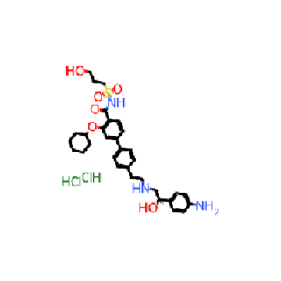 Cl.Cl.Nc1ccc([C@@H](O)CNCCc2ccc(-c3ccc(C(=O)NS(=O)(=O)CCCO)c(OC4CCCCC4)c3)cc2)cc1